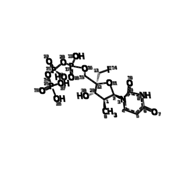 C[C@@H]1[C@H](n2ccc(=O)[nH]c2=O)O[C@](CF)(COP(=O)(O)OP(=O)(O)OP(=O)(O)O)[C@H]1O